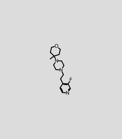 CC1(N2CCN(CCc3ccncc3F)CC2)CCOCC1